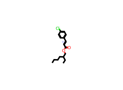 CCCCC(CC)COC(=O)/C=C/c1ccc(Cl)cc1